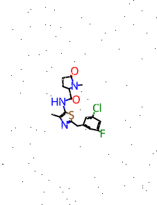 Cc1nc(Cc2cc(F)cc(Cl)c2)sc1NC(=O)C1CCC(=O)N1C